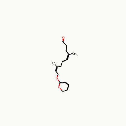 CC(=CCCC(C)=CCOC1CCCCO1)CCC=O